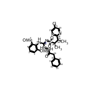 COc1cccc(OC)c1N/C(=N/S(=O)(=O)[C@@H](C)[C@H](C)c1ncc(Cl)cn1)NNC(=O)Cc1ccccc1